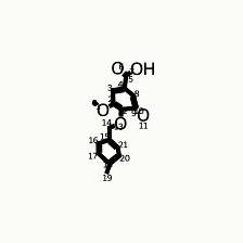 COc1cc(C(=O)O)cc(OC)c1OCc1ccc(C)cc1